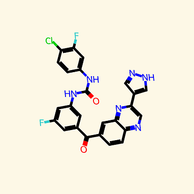 O=C(Nc1cc(F)cc(C(=O)c2ccc3ncc(-c4cn[nH]c4)nc3c2)c1)Nc1ccc(Cl)c(F)c1